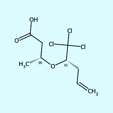 C=CC[C@H](O[C@H](C)CC(=O)O)C(Cl)(Cl)Cl